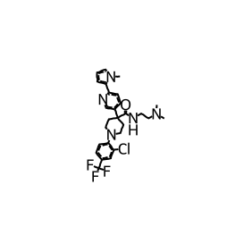 CN(C)CCNC(=O)C1(c2ccc(-c3cccn3C)nc2)CCN(c2ccc(C(F)(F)F)cc2Cl)CC1